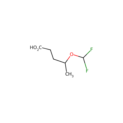 CC(CCC(=O)O)OC(F)F